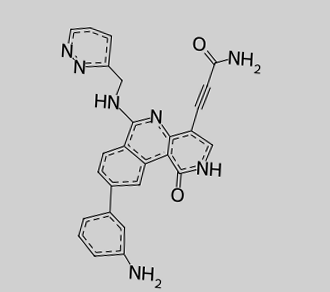 NC(=O)C#Cc1c[nH]c(=O)c2c1nc(NCc1cccnn1)c1ccc(-c3cccc(N)c3)cc12